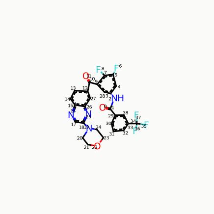 O=C(Nc1cc(F)c(F)c(C(=O)c2ccc3ncc(N4CCOCC4)nc3c2)c1)c1cccc(C(F)(F)F)c1